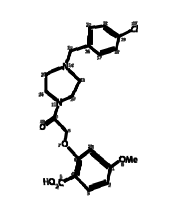 COc1ccc(C(=O)O)c(OCC(=O)N2CCN(Cc3ccc(Cl)cc3)CC2)c1